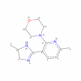 Cc1ccc(C2=NCC(C)N2)c(N2CCOCC2)n1